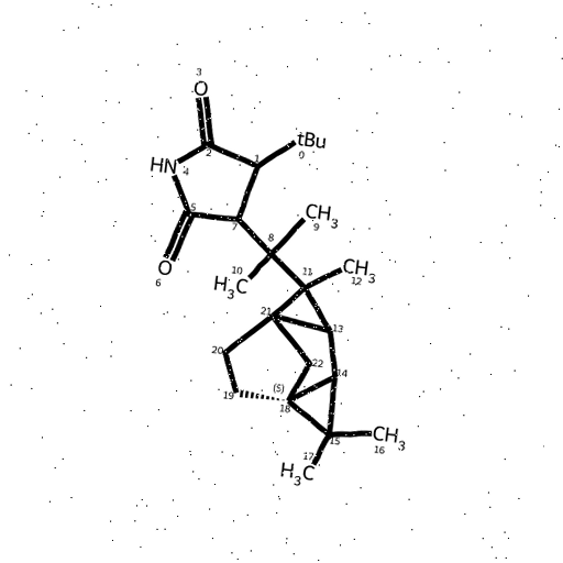 CC(C)(C)C1C(=O)NC(=O)C1C(C)(C)C1(C)C2C3C(C)(C)[C@]34CCC21C4